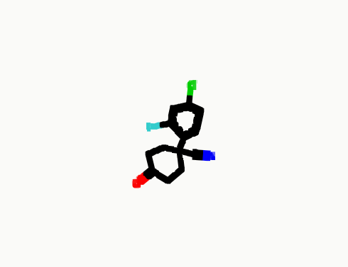 N#CC1(c2ccc(Cl)cc2F)CCC(=O)CC1